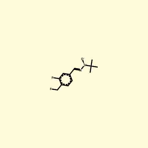 CC(C)(C)[S@+]([O-])/N=C/c1ccc(CF)c(F)c1